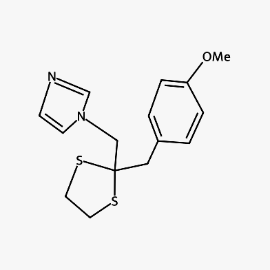 COc1ccc(CC2(Cn3ccnc3)SCCS2)cc1